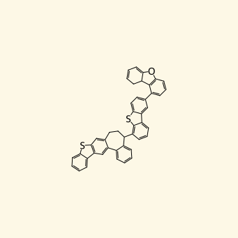 C1=CCC2C(=C1)Oc1cccc(-c3ccc4sc5c(C6CCc7cc8sc9ccccc9c8cc7-c7ccccc76)cccc5c4c3)c12